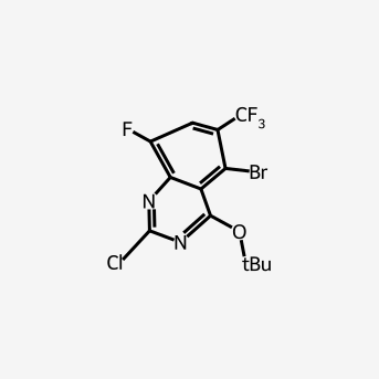 CC(C)(C)Oc1nc(Cl)nc2c(F)cc(C(F)(F)F)c(Br)c12